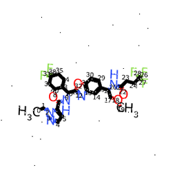 CCn1nccc1C(=O)N[C@H](c1nc2cc(C(COC)NC(=O)CCC(F)(F)F)ccc2o1)C1CCC(F)(F)CC1